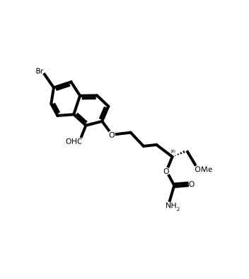 COC[C@@H](CCCOc1ccc2cc(Br)ccc2c1C=O)OC(N)=O